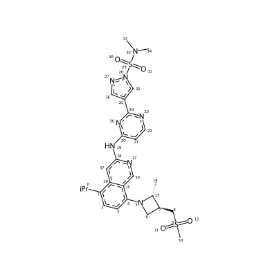 CC(C)c1ccc(N2C[C@H](CS(C)(=O)=O)[C@H]2C)c2cnc(Nc3ccnc(-c4cnn(S(=O)(=O)N(C)C)c4)n3)cc12